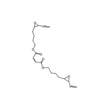 CCCCCCCCCC1OC1CCCCOC(=O)/C=C\C(=O)OCCCCC1OC1CCCCCCCCC